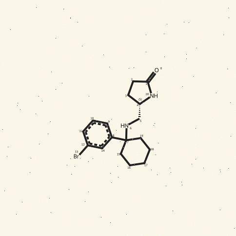 O=C1CC[C@@H](CNC2(c3cccc(Br)c3)CCCCC2)N1